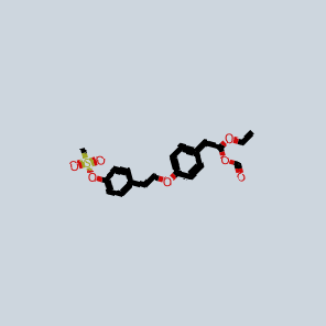 CCOC(Cc1ccc(OCCc2ccc(OS(C)(=O)=O)cc2)cc1)OC=O